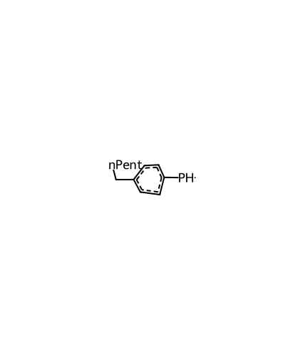 CCCCCCc1ccc([PH])cc1